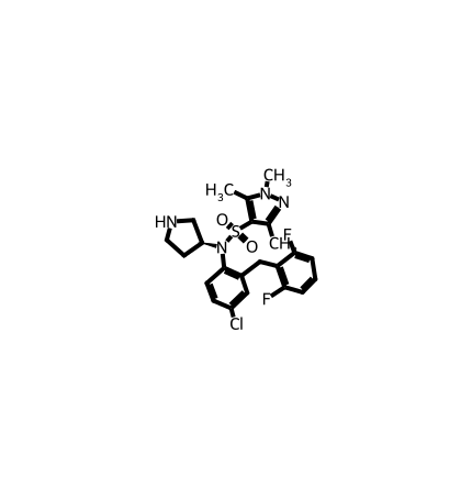 Cc1nn(C)c(C)c1S(=O)(=O)N(c1ccc(Cl)cc1Cc1c(F)cccc1F)[C@H]1CCNC1